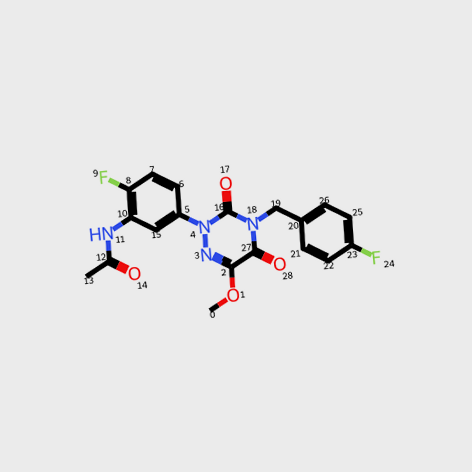 COc1nn(-c2ccc(F)c(NC(C)=O)c2)c(=O)n(Cc2ccc(F)cc2)c1=O